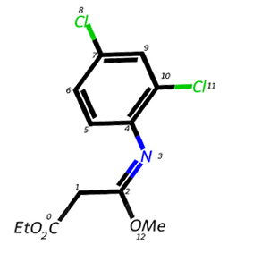 CCOC(=O)CC(=Nc1ccc(Cl)cc1Cl)OC